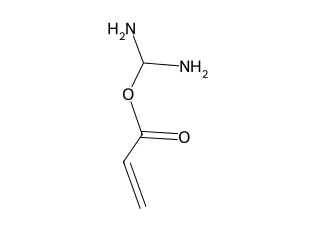 C=CC(=O)OC(N)N